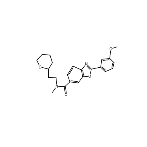 COc1cccc(-c2nc3ccc(C(=O)N(C)CCC4CCCCO4)cc3o2)c1